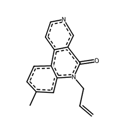 C=CCn1c(=O)c2cnccc2c2ccc(C)cc21